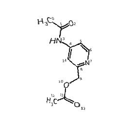 CC(=O)Nc1ccnc(COC(C)=O)c1